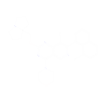 Fc1c(-c2cccc3cccc(F)c23)ncc2c(N3CCOCC3)nc(OCC34CCCN3CCC4)nc12